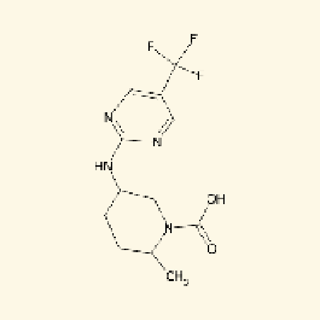 CC1CCC(Nc2ncc(C(F)(F)F)cn2)CN1C(=O)O